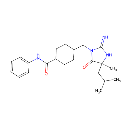 CC(C)CC1(C)NC(=N)N(CC2CCC(C(=O)Nc3ccccc3)CC2)C1=O